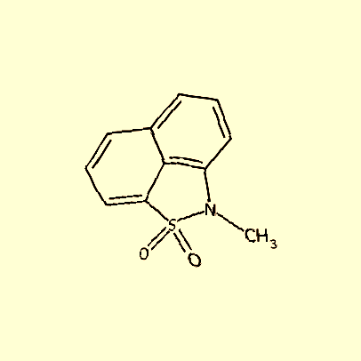 CN1c2cccc3cccc(c23)S1(=O)=O